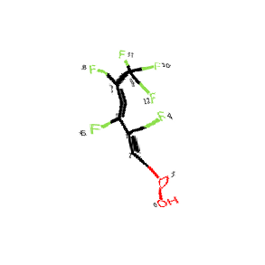 OO/C=C(F)/C(F)=C(/F)C(F)(F)F